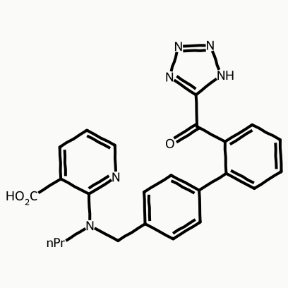 CCCN(Cc1ccc(-c2ccccc2C(=O)c2nnn[nH]2)cc1)c1ncccc1C(=O)O